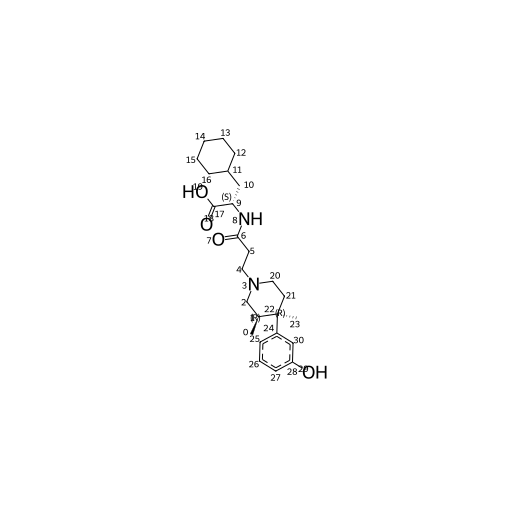 C[C@H]1CN(CCC(=O)N[C@@H](CC2CCCCC2)C(=O)O)CC[C@@]1(C)c1cccc(O)c1